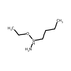 CCCC[SiH](N)OCC